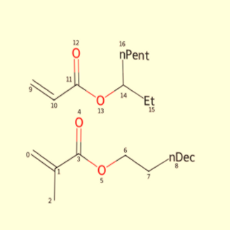 C=C(C)C(=O)OCCCCCCCCCCCC.C=CC(=O)OC(CC)CCCCC